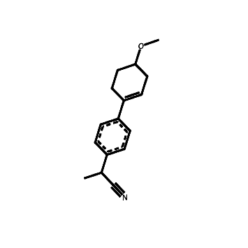 COC1CC=C(c2ccc(C(C)C#N)cc2)CC1